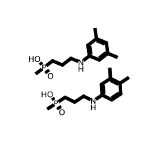 Cc1cc(C)cc(NCCCP(C)(=O)O)c1.Cc1ccc(NCCCP(C)(=O)O)cc1C